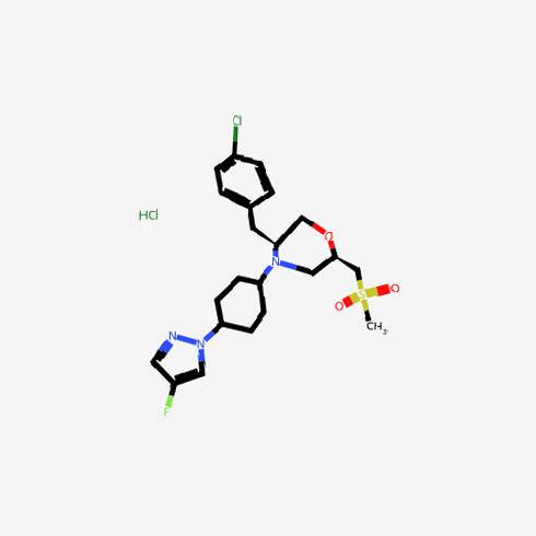 CS(=O)(=O)C[C@H]1CN(C2CCC(n3cc(F)cn3)CC2)[C@@H](Cc2ccc(Cl)cc2)CO1.Cl